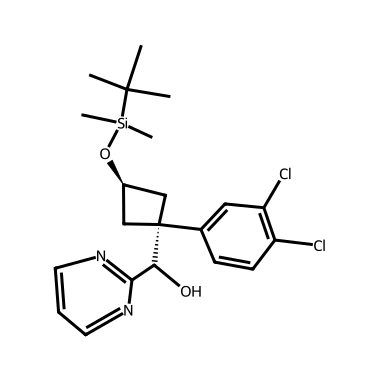 CC(C)(C)[Si](C)(C)O[C@H]1C[C@](c2ccc(Cl)c(Cl)c2)(C(O)c2ncccn2)C1